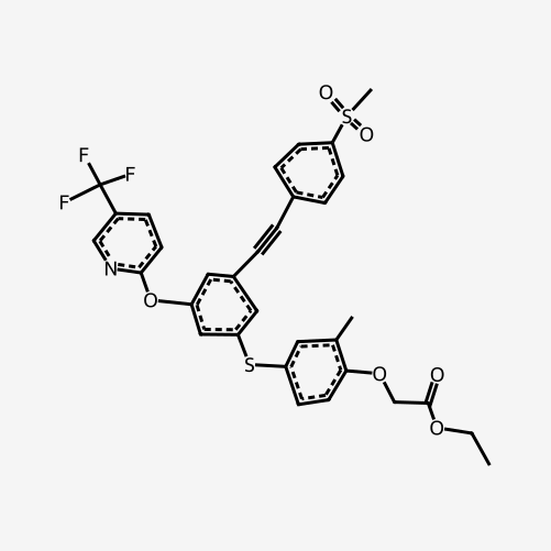 CCOC(=O)COc1ccc(Sc2cc(C#Cc3ccc(S(C)(=O)=O)cc3)cc(Oc3ccc(C(F)(F)F)cn3)c2)cc1C